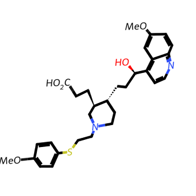 COc1ccc(SCCN2CC[C@@H](CC[C@@H](O)c3ccnc4ccc(OC)cc34)[C@H](CCC(=O)O)C2)cc1